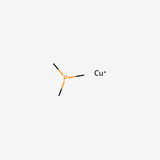 CP(C)C.[Cu+]